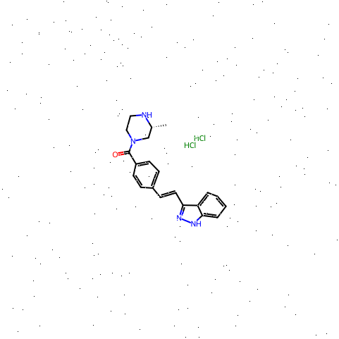 C[C@@H]1CN(C(=O)c2ccc(/C=C/c3n[nH]c4ccccc34)cc2)CCN1.Cl.Cl